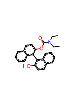 CCN(CC)C(=O)Oc1ccc2ccccc2c1-c1c(O)ccc2ccccc12